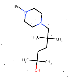 CC(C)N1CCN(CC(C)(C)CCC(C)(C)O)CC1